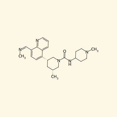 C/N=C\c1ccc([C@H]2C[C@@H](C)CN(C(=O)NC3CCN(C)CC3)C2)c2cccnc12